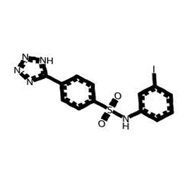 O=S(=O)(Nc1cccc(I)c1)c1ccc(-c2nnn[nH]2)cc1